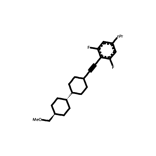 CCCc1cc(F)c(C#CC2CCC([C@H]3CC[C@H](COC)CC3)CC2)c(F)c1